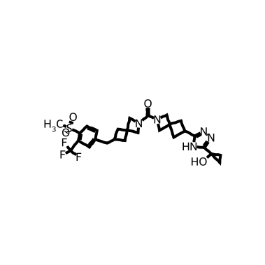 CS(=O)(=O)c1ccc(CC2CC3(C2)CN(C(=O)N2CC4(CC(c5nnc(C6(O)CC6)[nH]5)C4)C2)C3)cc1C(F)(F)F